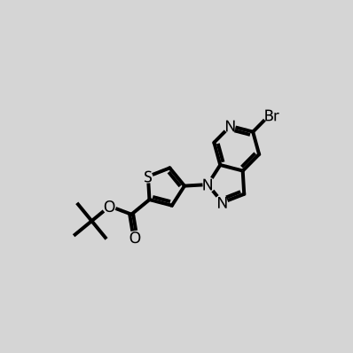 CC(C)(C)OC(=O)c1cc(-n2ncc3cc(Br)ncc32)cs1